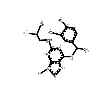 CCn1nnc2c(NC(C)c3ccc(O)c(O)c3)nc(NCC(C)O)nc21